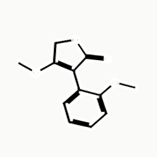 COC1=C(c2ccccc2OC)C(=O)OC1